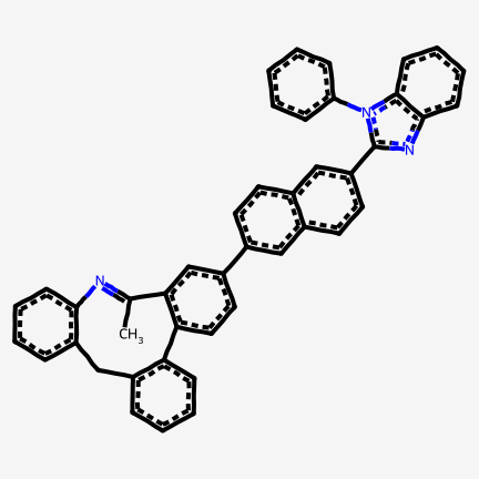 C/C1=N\c2ccccc2Cc2ccccc2-c2ccc(-c3ccc4cc(-c5nc6ccccc6n5-c5ccccc5)ccc4c3)cc21